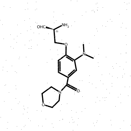 CN(C)c1cc(C(=O)N2CCOCC2)ccc1OC[C@H](N)C=O